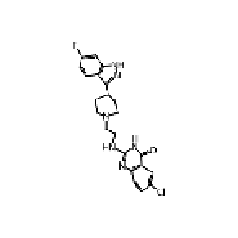 O=c1[nH]c(NCCN2CCC(c3n[nH]c4cc(F)ccc34)CC2)nc2ccc(Cl)cc12